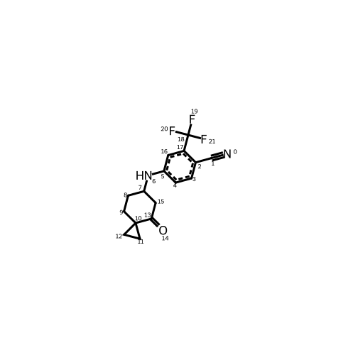 N#Cc1ccc(NC2CCC3(CC3)C(=O)C2)cc1C(F)(F)F